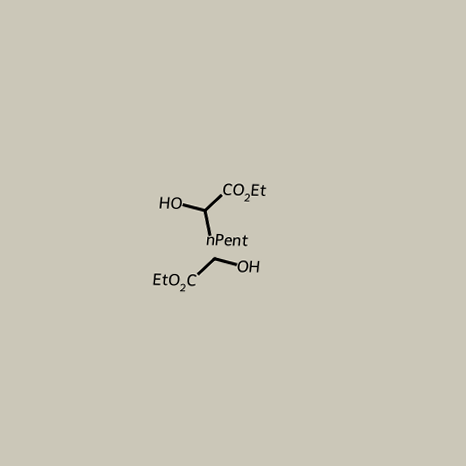 CCCCCC(O)C(=O)OCC.CCOC(=O)CO